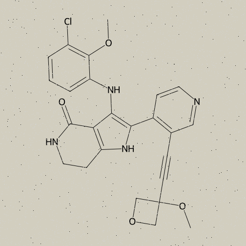 COc1c(Cl)cccc1Nc1c(-c2ccncc2C#CC2(OC)COC2)[nH]c2c1C(=O)NCC2